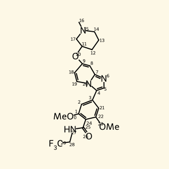 COc1cc(-c2cnc3cc(OC4CCCN(C)C4)ccn23)cc(OC)c1C(=O)NCC(F)(F)F